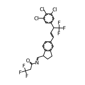 O=C(CC(F)(F)F)/N=C/C1CCc2cc(/C=C/C(c3cc(Cl)c(Cl)c(Cl)c3)C(F)(F)F)ccc21